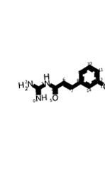 N=C(N)NC(=O)C=Cc1cccc(Cl)c1